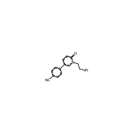 CC(C)CCn1cc(-c2ccc(C#N)cc2)ccc1=O